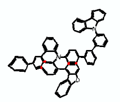 c1ccc(-c2cccc(-c3ccccc3N(c3ccc(-c4cccc(-c5cccc(-n6c7ccccc7c7ccccc76)c5)c4)cc3)c3ccccc3-c3cccc4oc5ccccc5c34)c2)cc1